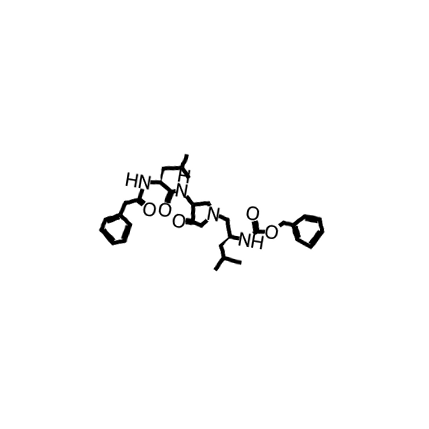 CC(C)C[C@@H](CN1CC(=O)C(NC(=O)[C@H](CC(C)C)NC(=O)Cc2ccccc2)C1)NC(=O)OCc1ccccc1